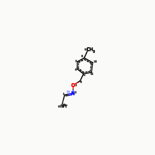 CCC/[C]=N/OCc1ccc(C)cc1